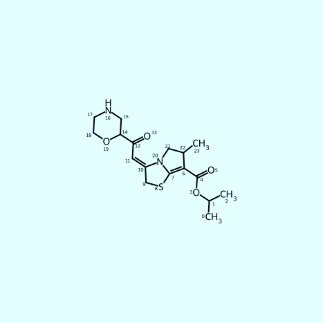 CC(C)OC(=O)C1=C2SCC(=CC(=O)C3CNCCO3)N2CC1C